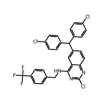 FC(F)(F)c1ccc(CNc2nc(Cl)nc3ccc(C(c4ccc(Cl)cc4)c4ccc(Cl)cc4)cc23)cc1